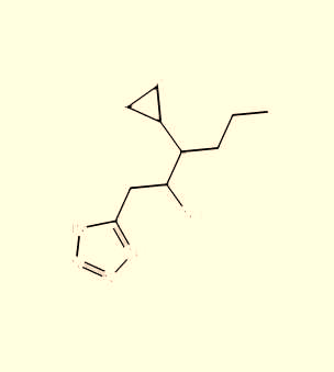 CCCC(C(N)Cc1nnn[nH]1)C1CC1